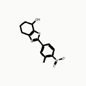 Cc1cc(-c2nc3c(s2)C(O)CCC3)ccc1[N+](=O)[O-]